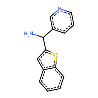 NC(c1cccnc1)c1cc2ccccc2s1